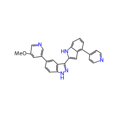 COc1cncc(-c2ccc3[nH]nc(-c4cc5c(-c6ccncc6)cccc5[nH]4)c3c2)c1